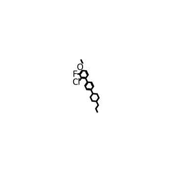 CCCC1CCC(c2ccc(-c3ccc(OCC)c(F)c3Cl)cc2)CC1